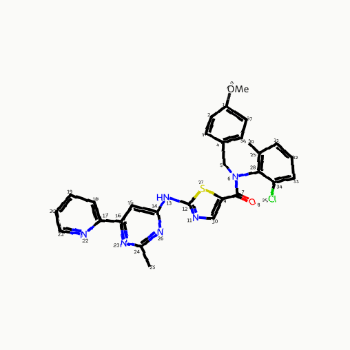 COc1ccc(CN(C(=O)c2cnc(Nc3cc(-c4ccccn4)nc(C)n3)s2)c2c(C)cccc2Cl)cc1